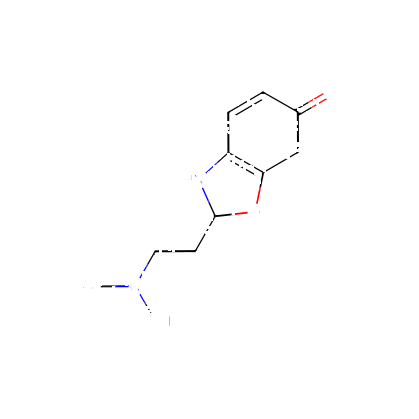 CC(=O)N(C)CCC1NC2=C(CC(=O)C=C2)O1